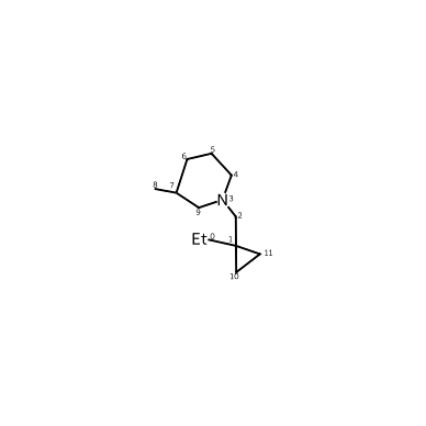 CCC1(CN2CCCC(C)C2)CC1